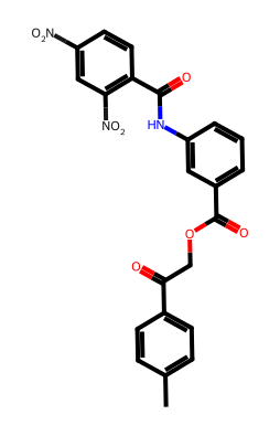 Cc1ccc(C(=O)COC(=O)c2cccc(NC(=O)c3ccc([N+](=O)[O-])cc3[N+](=O)[O-])c2)cc1